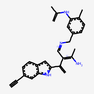 C#Cc1ccc2cc(C(=C)C(/C=N\Cc3ccc(C)c(NC(=C)C)c3)=C(/C)N)[nH]c2c1